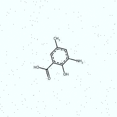 Cc1cc(N)c(O)c(C(=O)O)c1